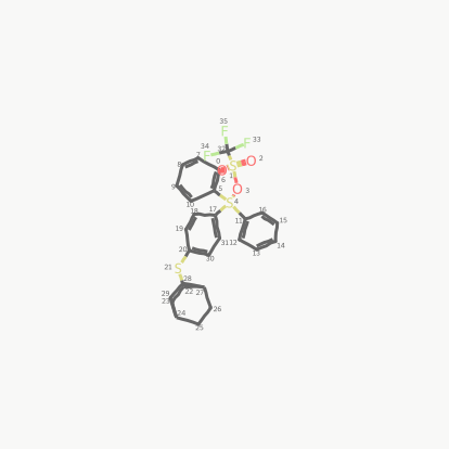 O=S(=O)(OS(c1ccccc1)(c1ccccc1)c1ccc(SC2CC3CCC2CC3)cc1)C(F)(F)F